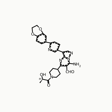 C[C@@H](O)C(=O)N1CCC(c2nc3c(-c4ccc(-c5ccc6c(c5)OCCO6)nc4)cnn3c(N)c2C=O)CC1